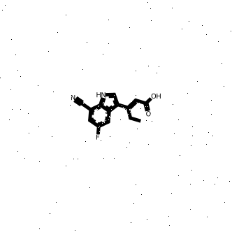 CC/C(=C\C(=O)O)c1c[nH]c2c(C#N)cc(F)cc12